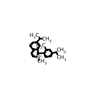 Cc1cc(C(C)C)ccc1-c1c2cc(C(C)C)ccc2cc[n+]1C